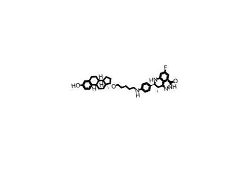 C[C@H]1c2n[nH]c(=O)c3cc(F)cc(c23)N[C@@H]1c1ccc(NCCCCCO[C@H]2CC[C@H]3[C@@H]4CCc5cc(O)ccc5[C@H]4CC[C@]23C)cc1